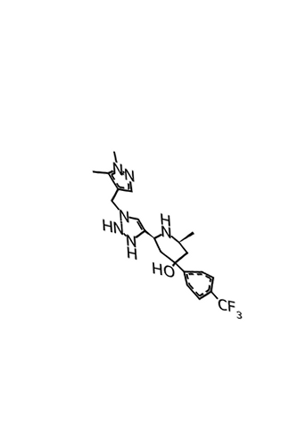 Cc1c(CN2C=C([C@@H]3CC(O)(c4ccc(C(F)(F)F)cc4)C[C@H](C)N3)NN2)cnn1C